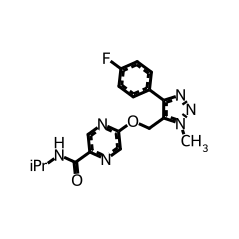 CC(C)NC(=O)c1cnc(OCc2c(-c3ccc(F)cc3)nnn2C)cn1